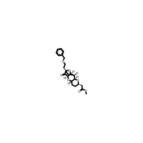 COC(=O)C[C@H]1CC[C@@H]2O[C@H]3C(=O)[C@@]4(CCOCc5ccccc5)C[C@@H]([C@H]2O1)[C@@H]3O4